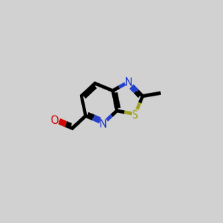 Cc1nc2ccc(C=O)nc2s1